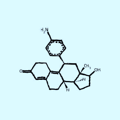 C[C@]12C[C@H](c3ccc(N)cc3)C3=C4CCC(=O)C=C4CC[C@H]3[C@@H]1CCC2O